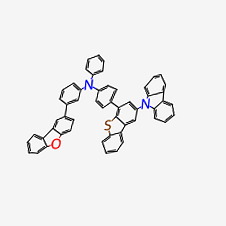 c1ccc(N(c2ccc(-c3cc(-n4c5ccccc5c5ccccc54)cc4c3sc3ccccc34)cc2)c2cccc(-c3ccc4oc5ccccc5c4c3)c2)cc1